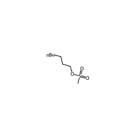 CCCCCCCOS(C)(=O)=O